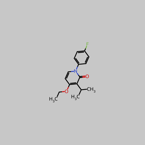 CCOc1ccn(-c2ccc(F)cc2)c(=O)c1C(C)C